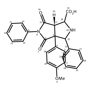 COc1ccc(C23C(=O)N(c4ccccc4)C(=O)[C@@H]2C(C(=O)O)NC3c2ccccc2)cc1